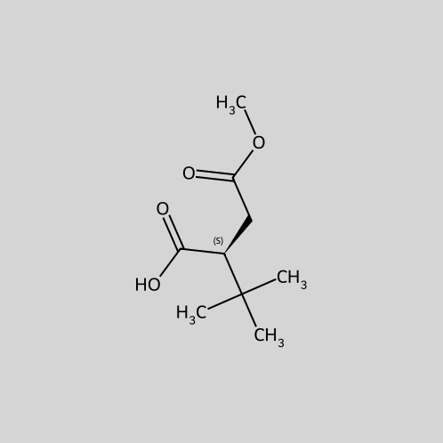 COC(=O)C[C@H](C(=O)O)C(C)(C)C